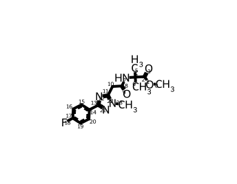 COC(=O)C(C)(C)NC(=O)Cc1nc(-c2ccc(F)cc2)nn1C